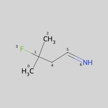 CC(C)(F)CC=N